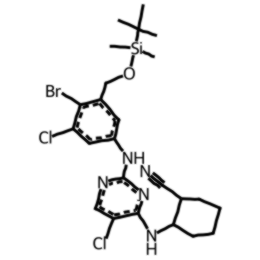 CC(C)(C)[Si](C)(C)OCc1cc(Nc2ncc(Cl)c(NC3CCCCC3C#N)n2)cc(Cl)c1Br